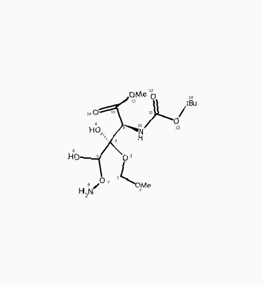 COCO[C@@](O)(C(O)ON)[C@H](NC(=O)OC(C)(C)C)C(=O)OC